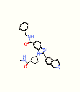 CNC(=O)[C@@H]1CC[C@H](n2c(-c3ccc4cnccc4c3)nc3ccc(C(=O)NCc4ccccc4)cc32)C1